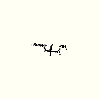 CCCCNCC(C)(C)O[SiH3]